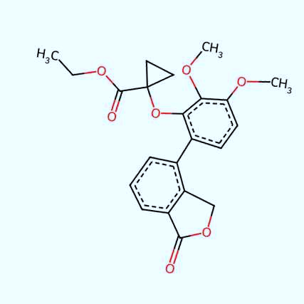 CCOC(=O)C1(Oc2c(-c3cccc4c3COC4=O)ccc(OC)c2OC)CC1